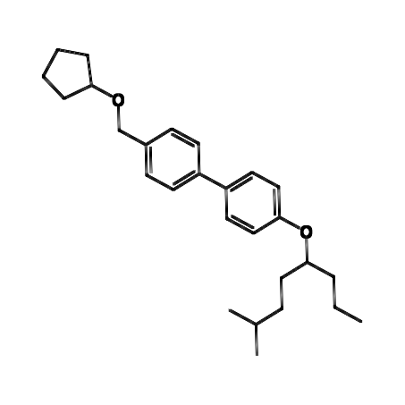 CCCC(CCC(C)C)Oc1ccc(-c2ccc(COC3CCCC3)cc2)cc1